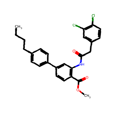 CCCCc1ccc(-c2ccc(C(=O)OC)c(NC(=O)Cc3ccc(Cl)c(Cl)c3)c2)cc1